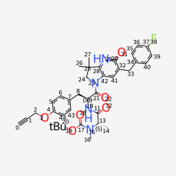 C#CCOc1ccc(C[C@H](NC(=O)[C@H](C)N(C)C(=O)OC(C)(C)C)C(=O)N2CC(C)(C)c3[nH]c(=O)c(Cc4ccc(F)cc4)cc32)cc1